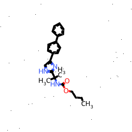 CCCCOC(=O)NC(C)(C)c1nc(-c2ccc(-c3ccccc3)cc2)c[nH]1